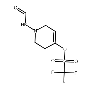 O=CBN1CC=C(OS(=O)(=O)C(F)(F)F)CC1